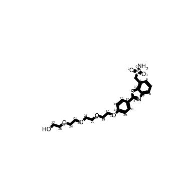 NS(=O)(=O)Cc1cccc2nc(-c3ccc(OCCOCCOCCOCCO)cc3)sc12